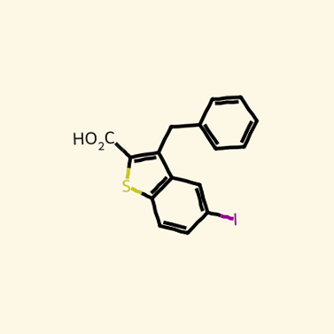 O=C(O)c1sc2ccc(I)cc2c1Cc1ccccc1